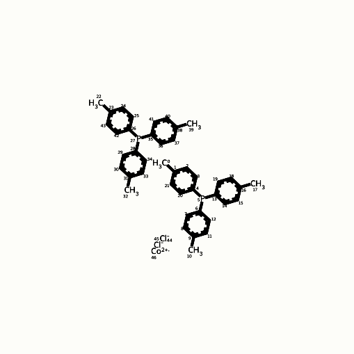 Cc1ccc(P(c2ccc(C)cc2)c2ccc(C)cc2)cc1.Cc1ccc(P(c2ccc(C)cc2)c2ccc(C)cc2)cc1.[Cl-].[Cl-].[Co+2]